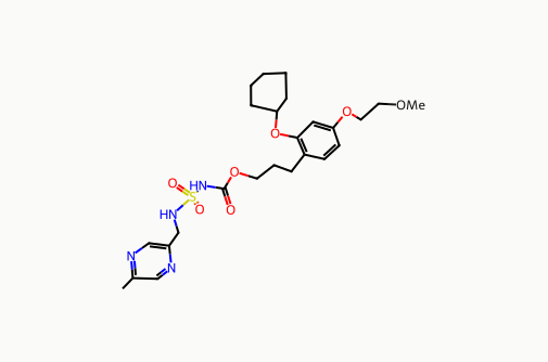 COCCOc1ccc(CCCOC(=O)NS(=O)(=O)NCc2cnc(C)cn2)c(OC2CCCCC2)c1